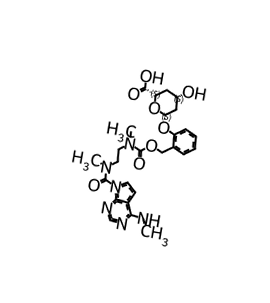 CNc1ncnc2c1ccn2C(=O)N(C)CCN(C)C(=O)OCc1ccccc1O[C@H]1C[C@@H](O)C[C@@H](C(=O)O)O1